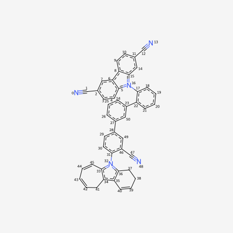 N#Cc1ccc2c(c1)c1ccc(C#N)cc1n2-c1ccccc1-c1cccc(-c2ccc(-n3c4c(c5c3CCC=C5)CC=CC=C4)c(C#N)c2)c1